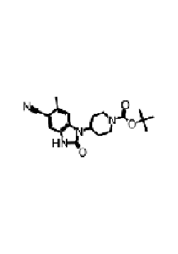 Cc1cc2c(cc1C#N)[nH]c(=O)n2C1CCN(C(=O)OC(C)(C)C)CC1